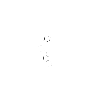 Cc1cc(CC2CCCN(C(C)c3cc4c(cc3F)OCCO4)C2)cc(C(F)(F)F)n1